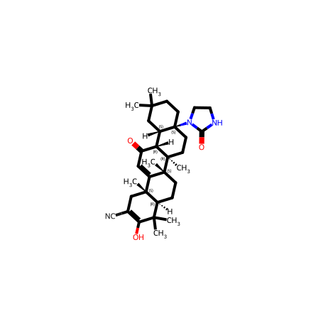 CC1(C)CC[C@]2(N3CCNC3=O)CC[C@]3(C)[C@H](C(=O)C=C4[C@@]5(C)CC(C#N)=C(O)C(C)(C)[C@@H]5CC[C@]43C)[C@@H]2C1